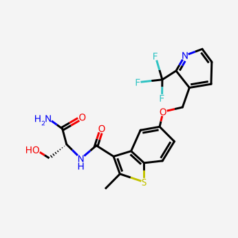 Cc1sc2ccc(OCc3cccnc3C(F)(F)F)cc2c1C(=O)N[C@H](CO)C(N)=O